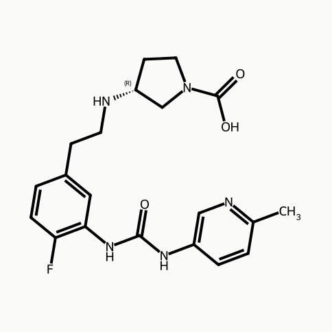 Cc1ccc(NC(=O)Nc2cc(CCN[C@@H]3CCN(C(=O)O)C3)ccc2F)cn1